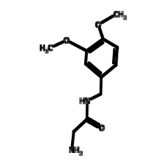 COc1ccc(CNC(=O)CN)cc1OC